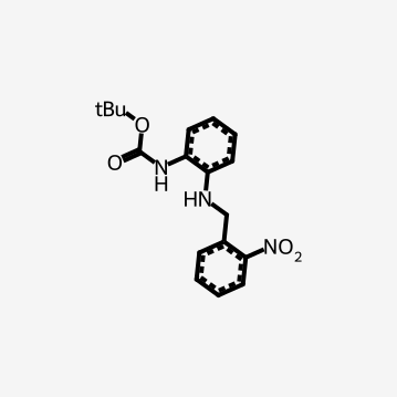 CC(C)(C)OC(=O)Nc1ccccc1NCc1ccccc1[N+](=O)[O-]